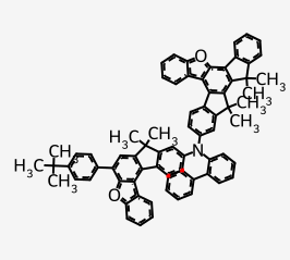 CC(C)(C)c1ccc(-c2cc3c(c4c2oc2ccccc24)-c2ccc(N(c4ccc5c(c4)C(C)(C)c4c6c(c7oc8ccccc8c7c4-5)-c4ccccc4C6(C)C)c4ccccc4-c4ccccc4)cc2C3(C)C)cc1